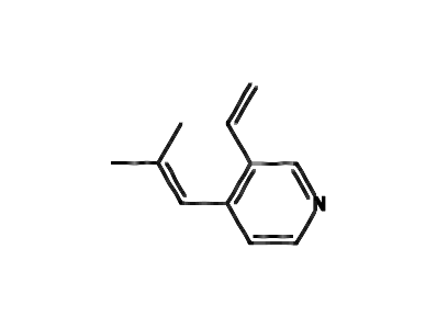 C=Cc1cnccc1C=C(C)C